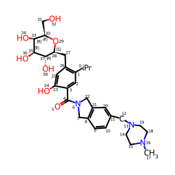 CC(C)c1cc(C(=O)N2Cc3ccc(CN4CCN(C)CC4)cc3C2)c(O)cc1C[C@@H]1O[C@H](CO)[C@H](O)[C@H](O)[C@H]1O